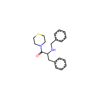 O=C(C(Cc1ccccc1)NCc1ccccc1)N1CCSCC1